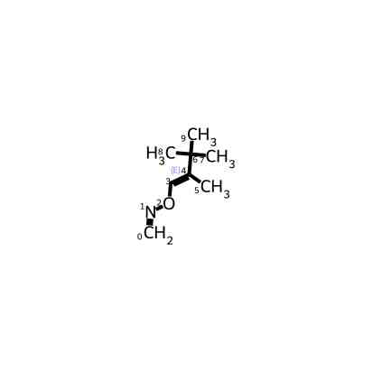 C=NO/C=C(\C)C(C)(C)C